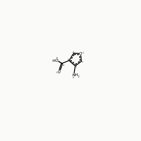 Nc1cocc1C(=O)O